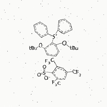 CC(C)(C)Oc1cccc(OC(C)(C)C)c1[S+](c1ccccc1)c1ccccc1.O=S(=O)([O-])c1c(C(F)(F)F)cc(C(F)(F)F)cc1C(F)(F)F